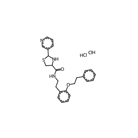 Cl.Cl.O=C(NCCc1ccccc1OCCc1ccccc1)C1CSC(c2cccnc2)N1